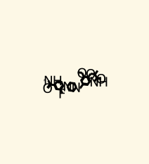 CNC(=O)c1ccc(N2CCN(Cc3cc4c(c(OC)c3)OC(C)C(=O)N4)CC2)c(F)c1